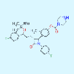 Cc1cc(OC(=O)N2CCNCC2)ccc1[C@@H]1[C@@H](CC[C@H](O[Si](C)(C)C(C)(C)C)c2ccc(F)cc2)C(=O)N1c1ccc(F)cc1